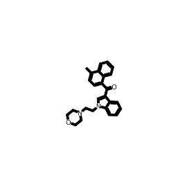 Cc1ccc(C(=O)c2cn(CCN3CCOCC3)c3ccccc23)c2ccccc12